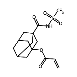 C=CC(=O)OC12CC3CC(C1)CC(C(=O)NS(=O)(=O)C(F)(F)F)(C3)C2